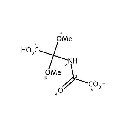 COC(NC(=O)C(=O)O)(OC)C(=O)O